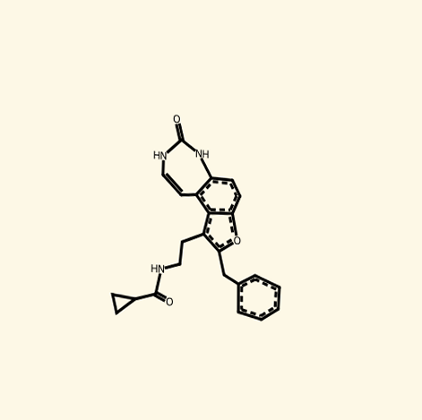 O=C1NC=Cc2c(ccc3oc(Cc4ccccc4)c(CCNC(=O)C4CC4)c23)N1